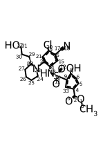 COC(=O)c1ccc(O)c(S(=O)(=O)Nc2cc(C#N)c(Cl)cc2N2CCCC[C@H]2CCCO)c1